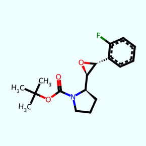 CC(C)(C)OC(=O)N1CCC[C@@H]1[C@H]1O[C@@H]1c1ccccc1F